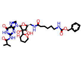 CC(C)C(=O)Nc1nc2c(ncn2[C@@H]2O[C@H](CNC(=O)CCCCCNC(=O)OCc3ccccc3)[C@@H](O)[C@]2(O)C2CCCCO2)c(=O)[nH]1